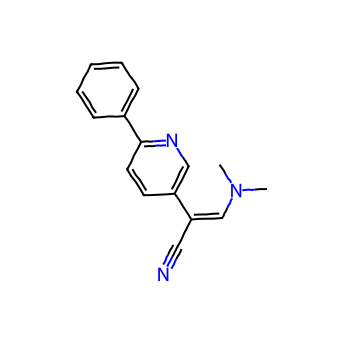 CN(C)/C=C(/C#N)c1ccc(-c2ccccc2)nc1